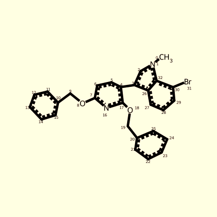 Cn1cc(-c2ccc(OCc3ccccc3)nc2OCc2ccccc2)c2cccc(Br)c21